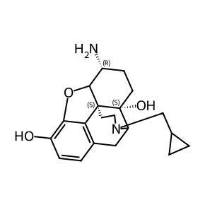 N[C@@H]1CC[C@@]2(O)C3Cc4ccc(O)c5c4[C@@]2(CCN3CC2CC2)C1O5